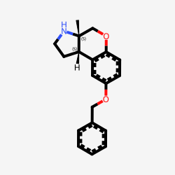 C[C@@]12COc3ccc(OCc4ccccc4)cc3[C@@H]1CCN2